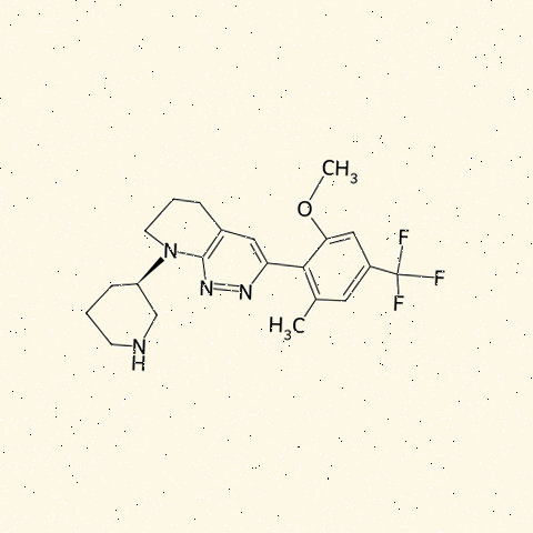 COc1cc(C(F)(F)F)cc(C)c1-c1cc2c(nn1)N([C@@H]1CCCNC1)CCC2